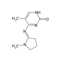 Cc1[c][nH]c(=O)nc1N=C1CCCN1C